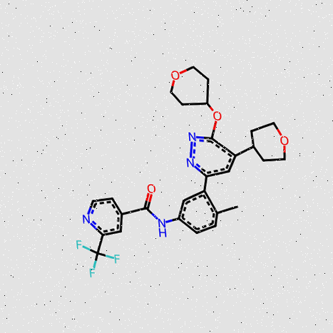 Cc1ccc(NC(=O)c2ccnc(C(F)(F)F)c2)cc1-c1cc(C2CCOCC2)c(OC2CCOCC2)nn1